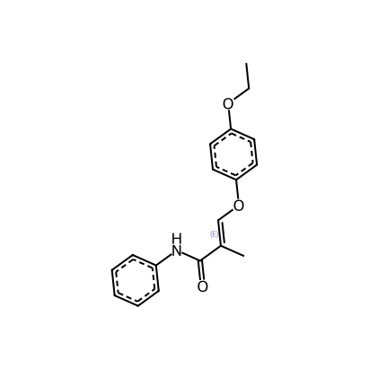 CCOc1ccc(O/C=C(\C)C(=O)Nc2ccccc2)cc1